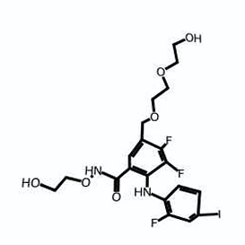 O=C(NOCCO)c1cc(COCCOCCO)c(F)c(F)c1Nc1ccc(I)cc1F